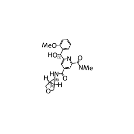 CNC(=O)c1cc(C(=O)N[C@H]2[C@@H]3COC[C@@H]32)cc([C@@H](O)c2ccccc2OC)n1